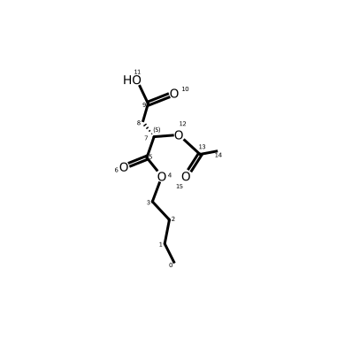 CCCCOC(=O)[C@H](CC(=O)O)OC(C)=O